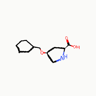 O=C(O)[C@@H]1C[C@H](OCC2CCCCC2)CN1